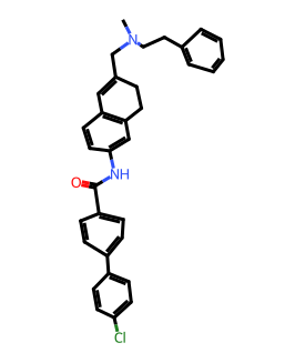 CN(CCc1ccccc1)CC1=Cc2ccc(NC(=O)c3ccc(-c4ccc(Cl)cc4)cc3)cc2CC1